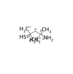 CC(C)(N)CC(C)(C)S